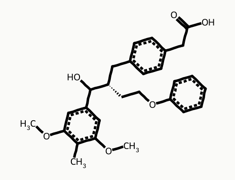 COc1cc(C(O)[C@@H](CCOc2ccccc2)Cc2ccc(CC(=O)O)cc2)cc(OC)c1C